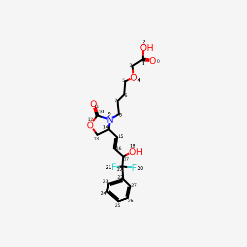 O=C(O)COCCCCN1C(=O)OCC1C=CC(O)C(F)(F)c1ccccc1